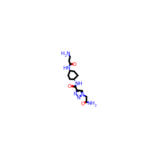 NCCC(=O)N[C@H]1CC[C@H](NC(=O)c2cn(CC(N)=O)nn2)CC1